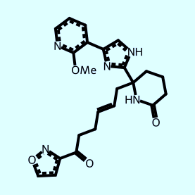 COc1ncccc1-c1c[nH]c(C2(CC=CCCC(=O)c3ccon3)CCCC(=O)N2)n1